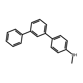 CBc1ccc(-c2cccc(-c3ccccc3)c2)cc1